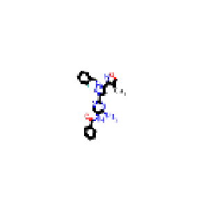 Cc1conc1-c1cc(-c2ncc(NC(=O)c3ccccc3)c(N)n2)nn1Cc1ccccc1F